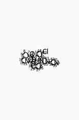 O=C1N(S(=O)(=O)c2cccc3cccnc23)c2ccc(Cl)cc2C1(c1cccc2ccoc12)N1CCN(c2ccncc2)CC1